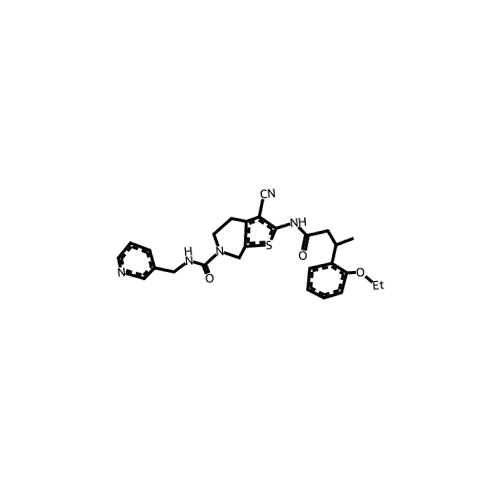 CCOc1ccccc1C(C)CC(=O)Nc1sc2c(c1C#N)CCN(C(=O)NCc1cccnc1)C2